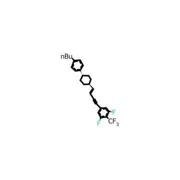 CCCCc1ccc([C@H]2CC[C@H](/C=C/C#Cc3cc(F)c(C(F)(F)F)c(F)c3)CC2)cc1